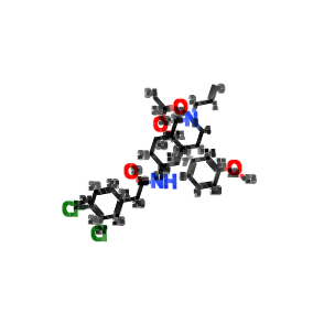 C=CCN1CC[C@@]2(c3cccc(OC)c3)C[C@H](NC(=O)Cc3ccc(Cl)c(Cl)c3)CC[C@]2(OC(C)=O)C1